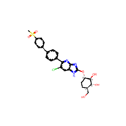 CS(=O)(=O)c1ccc(-c2ccc(-c3nc4nc(O[C@H]5CC[C@H](CO)[C@@H](O)[C@@H]5O)[nH]c4cc3Cl)cc2)cc1